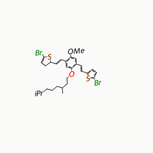 COc1cc(/C=C/c2ccc(Br)s2)c(OCCC(C)CCCC(C)C)cc1/C=C/C1CC=C(Br)S1